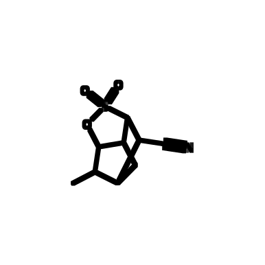 CC1C2CC3C1OS(=O)(=O)C3C2C#N